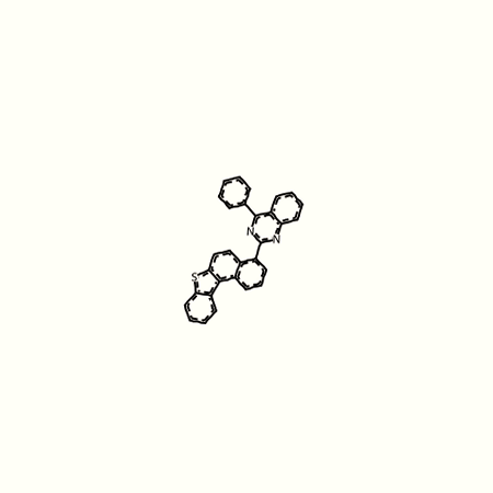 c1ccc(-c2nc(-c3cccc4c3ccc3sc5ccccc5c34)nc3ccccc23)cc1